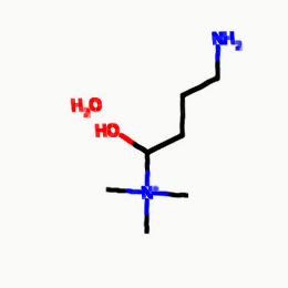 C[N+](C)(C)C(O)CCCN.O